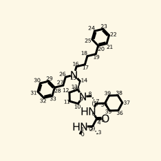 CN[C@@H](C)C(=O)N[C@H](CN1CCC[C@H]1CN(CCCCc1ccccc1)CCc1ccccc1)C1CCCCC1